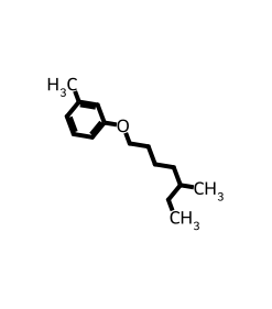 CCC(C)CCCCOc1cccc(C)c1